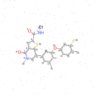 CCNC(=O)c1cc2c(=O)n(C)cc(-c3cc(C)cc(Oc4ccc(C)c(F)c4)c3)c2s1